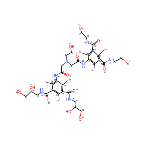 O=C(CN(CCO)CC(=O)Nc1c(I)c(C(=O)NCC(O)CO)c(I)c(C(=O)NCC(O)CO)c1I)Nc1c(I)c(C(=O)NCCO)c(I)c(C(=O)NCCO)c1I